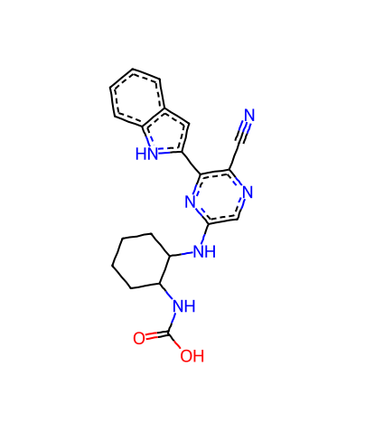 N#Cc1ncc(NC2CCCCC2NC(=O)O)nc1-c1cc2ccccc2[nH]1